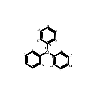 c1cc[c]([Zr]([c]2ccccc2)[c]2ccccc2)cc1